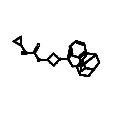 CC1C2CC3CC1CC(C2)C3(CC(=O)N1CC(OC(=O)NC2CC2)C1)c1ccccc1